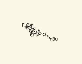 CCCC/C=C/CCc1ccc(-c2cc(F)c(-c3cc(F)c(C(F)(F)Oc4cc(F)c(OC(F)(F)F)c(F)c4)c(Cl)c3)c(F)c2)cc1